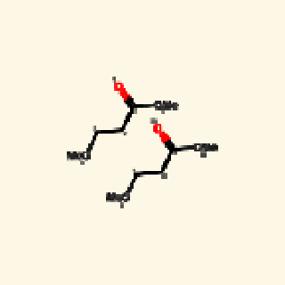 COCCC(=O)OC.COCCC(=O)OC